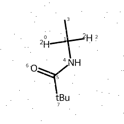 [2H]C([2H])(C)NC(=O)C(C)(C)C